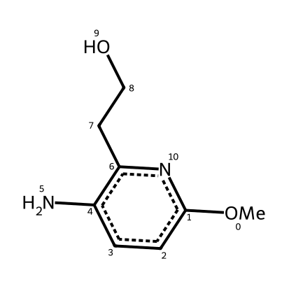 COc1ccc(N)c(CCO)n1